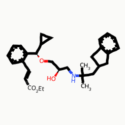 CCOC(=O)/C=C/c1ccccc1[C@@H](OC[C@H](O)CNC(C)(C)CC1Cc2ccccc2C1)C1CC1